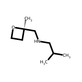 CC(C)CNC[C@@]1(C)CCO1